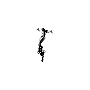 CCCCCc1ccc(-c2cc3ccc(OCCC(F)(F)C(F)(F)C(F)(F)C(F)(F)CCOC(=O)C(CC(C)(C)N)C(C)(C)N)cc3oc2=O)c(OC)c1